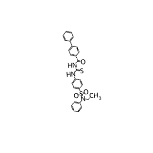 CCN(c1ccccc1)S(=O)(=O)c1ccc(NC(=S)NC(=O)c2ccc(-c3ccccc3)cc2)cc1